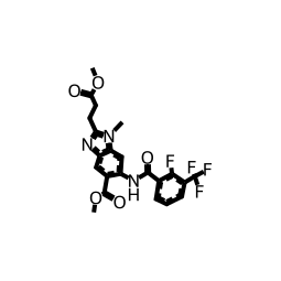 COC(=O)CCc1nc2cc(C(=O)OC)c(NC(=O)c3cccc(C(F)(F)F)c3F)cc2n1C